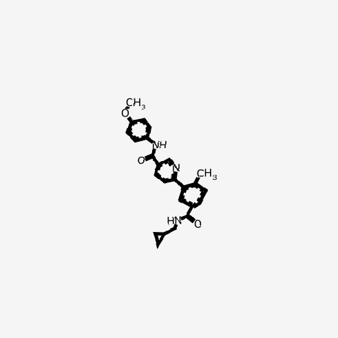 COc1ccc(NC(=O)c2ccc(-c3cc(C(=O)NCC4CC4)ccc3C)nc2)cc1